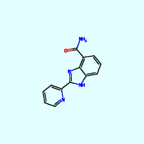 NC(=O)c1cccc2[nH]c(-c3ccccn3)nc12